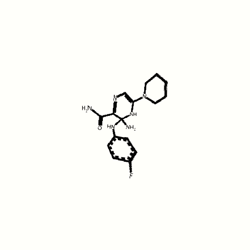 NC(=O)C1=NC=C(N2CCCCC2)NC1(N)Nc1ccc(F)cc1